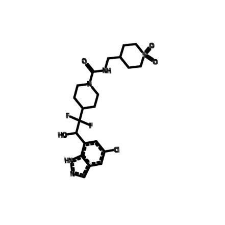 O=C(NCC1CCS(=O)(=O)CC1)N1CCC(C(F)(F)C(O)c2cc(Cl)cc3cn[nH]c23)CC1